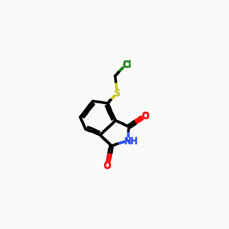 O=C1NC(=O)c2c(SCCl)cccc21